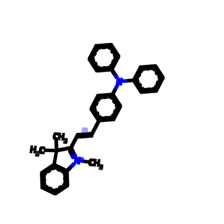 C[N+]1=C(/C=C/c2ccc(N(c3ccccc3)c3ccccc3)cc2)C(C)(C)c2ccccc21